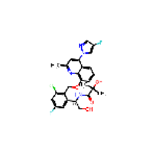 Cc1cc(-n2cc(F)cn2)c2cccc(OCc3c(Cl)cc(F)cc3[C@H](CO)NC(=O)C(C)(C)O)c2n1